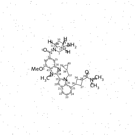 COc1cc(C(=O)N2C[C@H]3CC[C@@H]2C[C@@H]3N)cc2nc(-c3cc4cccc(C5CC(C(=O)N(C)C)C5)c4n3CC3CC3)n(C)c12